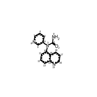 NC(=O)N(c1cccnc1)c1cccc2ncccc12